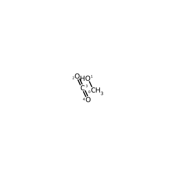 CO.O=C=O